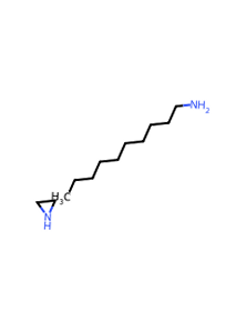 C1CN1.CCCCCCCCCCN